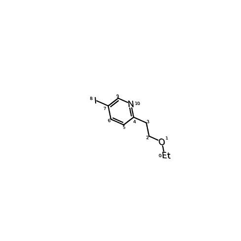 CCOCCc1ccc(I)cn1